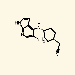 N#CC[C@H]1CC[C@H](Nc2c(N)cnc3[nH]ccc23)CC1